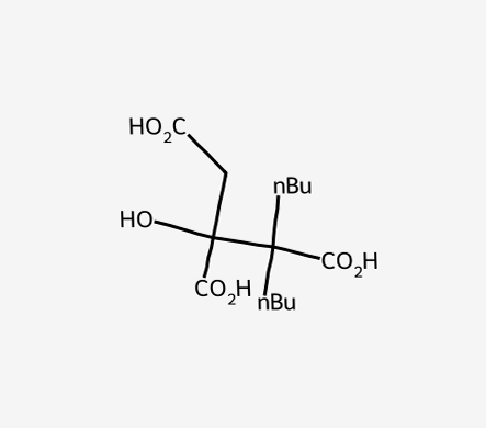 CCCCC(CCCC)(C(=O)O)C(O)(CC(=O)O)C(=O)O